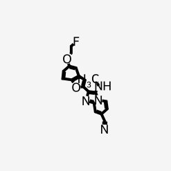 CNc1c(-c2cc3cc(OCCF)ccc3o2)nc2cc(C#N)ccn12